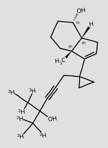 [2H]C([2H])([2H])C(O)(C#CCC1(C2=CC[C@H]3[C@@H](O)CCC[C@@]23C)CC1)C([2H])([2H])[2H]